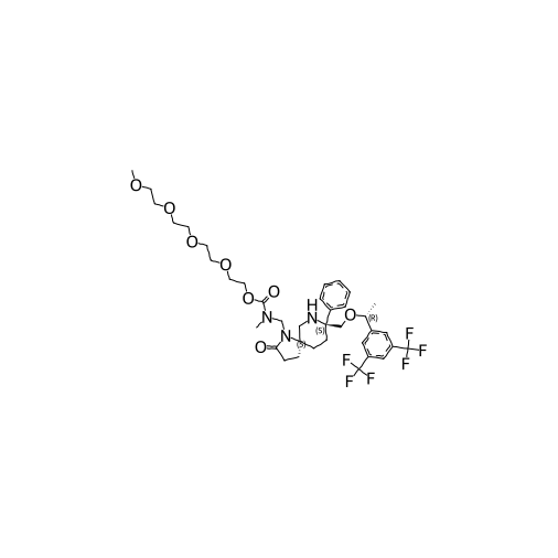 COCCOCCOCCOCCOC(=O)N(C)CN1C(=O)CC[C@]12CC[C@@](CO[C@H](C)c1cc(C(F)(F)F)cc(C(F)(F)F)c1)(c1ccccc1)NC2